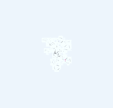 C[C@@H](C(=O)N[C@@H](Cc1ccc(O)cc1)C(=O)O)N(C)C(=O)[C@H](Cc1ccccc1)N(C)C(=O)[C@H](Cc1ccccc1)NC(=O)[C@H](Cc1ccccc1)N(C)C(=O)OC(C)(C)C